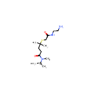 C[C@@H](C(=O)O)N(C)C(=O)CCC(C)(C)SCC(=O)NCCN